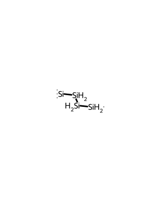 [Si][SiH2][SiH2][SiH2]